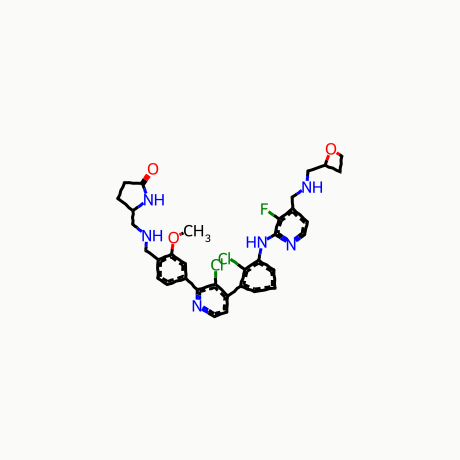 COc1cc(-c2nccc(-c3cccc(Nc4nccc(CNCC5CCO5)c4F)c3Cl)c2Cl)ccc1CNCC1CCC(=O)N1